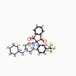 O=C1c2ccccc2C(=O)C1(c1cccc(C(F)(F)F)c1)N1CCN(CC2CCCCC2)CC1